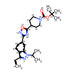 C=Cc1nn(C(C)C)c2cc(-c3noc(C4CCN(C(=O)OC(C)(C)C)CC4)n3)ccc12